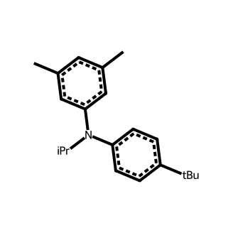 Cc1cc(C)cc(N(c2ccc(C(C)(C)C)cc2)C(C)C)c1